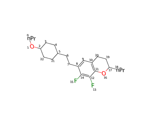 CCCOC1CCC(CCc2cc3c(c(F)c2F)OC(CCC)CC3)CC1